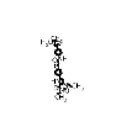 CCCn1c(=O)c2[nH]c(-c3ccc(OCC(=O)Nc4ccc(C5=NC(C)(C)CO5)cc4)cc3)cc2n(CCC)c1=O